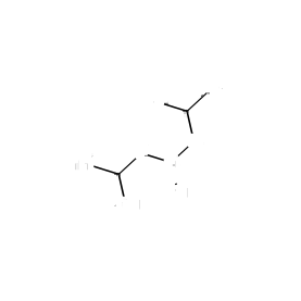 CC(C)C(C)S[SiH]([SiH3])SC(C)C(C)C